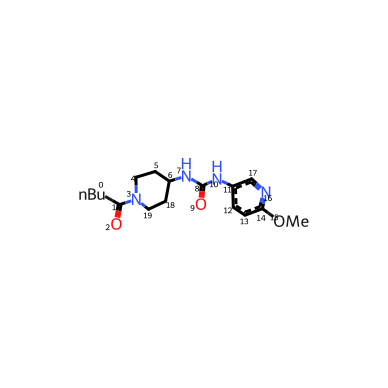 CCCCC(=O)N1CCC(NC(=O)Nc2ccc(OC)nc2)CC1